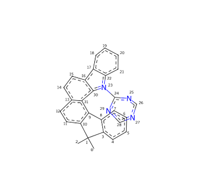 CC1(C)c2ccccc2-c2c1ccc1ccc3c4ccccc4n(-c4ncncn4)c3c21